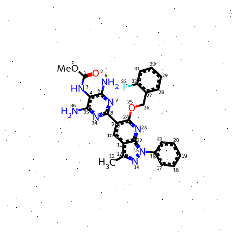 COC(=O)Nc1c(N)nc(-c2cc3c(C)nn(-c4ccccc4)c3nc2OCc2ccccc2F)nc1N